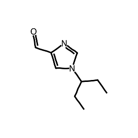 CCC(CC)n1cnc(C=O)c1